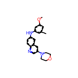 COc1cc(C)cc(Nc2ccc3ncc(N4CCOCC4)cc3c2)c1